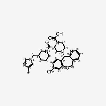 Cc1cn(C[C@@H]2CCCN(C(=O)[C@@H]3CN([C@H]4c5ccc(Cl)cc5OCc5cccnc54)CCN3C(=O)O)C2)cn1